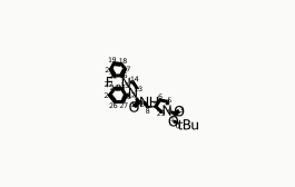 CC(C)(C)OC(=O)N1CC[C@H](CNC(=O)N2CCN(c3ccccc3F)c3ccccc32)C1